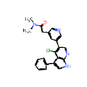 CN(C)C(=O)Cc1cncc(-c2cnc3[nH]cc(-c4ccccc4)c3c2Cl)c1